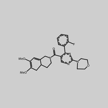 COC1=C(OC)CC2CCN(C(=O)c3cnc(N4CCOCC4)nc3-c3ccccc3F)CC2=C1